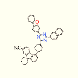 N#Cc1ccc2c(c1)C1(CCCCC1)c1cccc(C3=CC=C(c4nc(-c5ccc6ccccc6c5)nc(-c5ccc6c(c5)oc5ccccc56)n4)CC3)c1-2